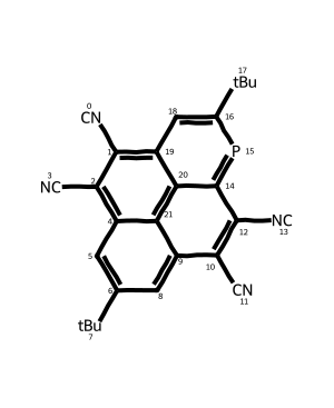 [C-]#[N+]c1c(C#N)c2cc(C(C)(C)C)cc3c(C#N)c([N+]#[C-])c4pc(C(C)(C)C)cc1c4c23